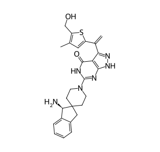 C=C(c1cc(C)c(CO)s1)c1n[nH]c2nc(N3CCC4(CC3)Cc3ccccc3[C@H]4N)[nH]c(=O)c12